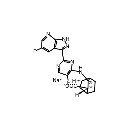 O=C([O-])[C@H]1C2CCC(CC2)[C@@H]1Nc1nc(-c2n[nH]c3ncc(F)cc23)ncc1F.[Na+]